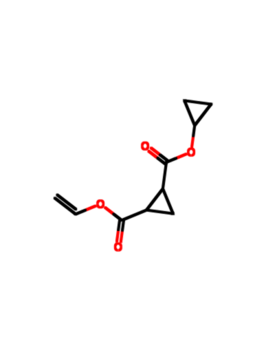 C=COC(=O)C1CC1C(=O)OC1CC1